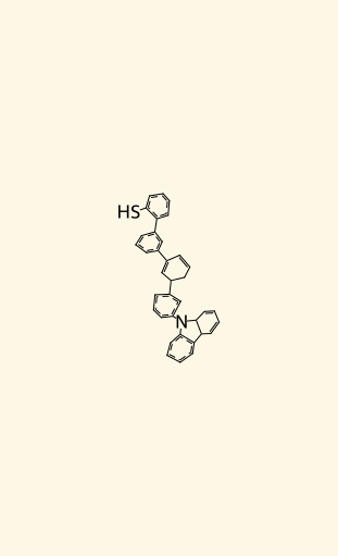 Sc1ccccc1-c1cccc(C2=CC(c3cccc(N4c5ccccc5C5C=CC=CC54)c3)CC=C2)c1